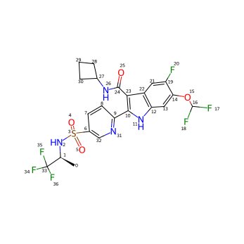 C[C@H](NS(=O)(=O)c1ccc(-c2[nH]c3cc(OC(F)F)c(F)cc3c2C(=O)NC2CCC2)nc1)C(F)(F)F